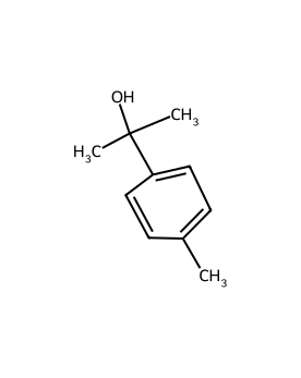 Cc1ccc(C(C)(C)O)cc1